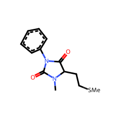 CSCCC1C(=O)N(c2ccccc2)C(=O)N1C